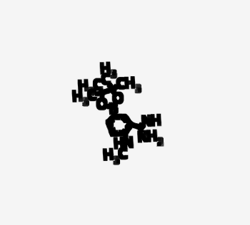 CNc1ccc(B2OC(C)(C)C(C)(C)O2)cc1C(=N)N